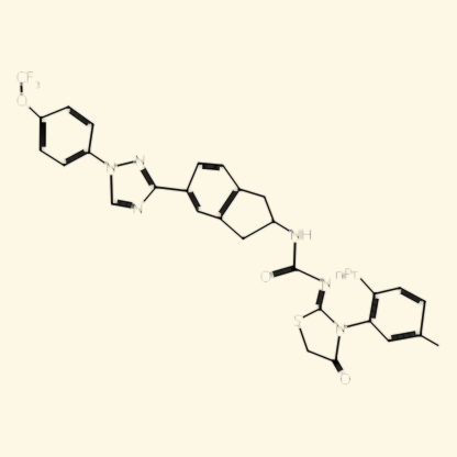 CCCc1ccc(C)cc1N1C(=O)CSC1=NC(=O)NC1Cc2ccc(-c3ncn(-c4ccc(OC(F)(F)F)cc4)n3)cc2C1